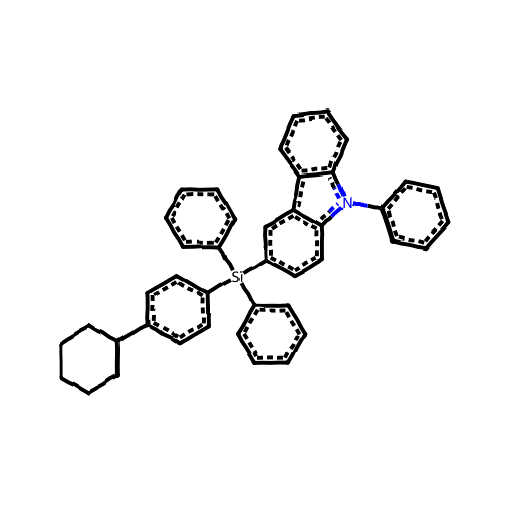 c1ccc(-n2c3ccccc3c3cc([Si](c4ccccc4)(c4ccccc4)c4ccc(C5CCCCC5)cc4)ccc32)cc1